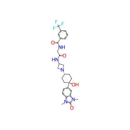 Cn1c(=O)n(C)c2cc([C@]3(O)CC[C@H](N4CC(NC(=O)CNC(=O)c5cccc(C(F)(F)F)c5)C4)CC3)ccc21